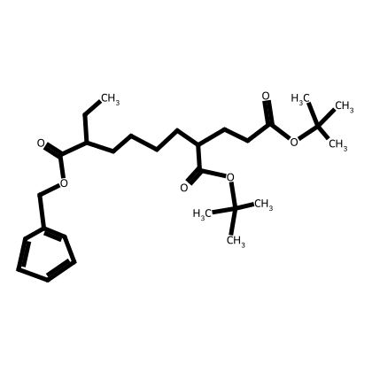 CCC(CCCCC(CCC(=O)OC(C)(C)C)C(=O)OC(C)(C)C)C(=O)OCc1ccccc1